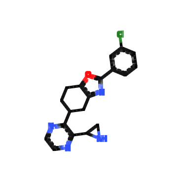 Clc1cccc(-c2nc3c(o2)CCC(c2nccnc2C2CN2)C3)c1